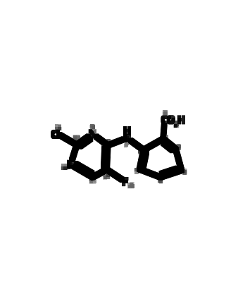 O=C(O)c1ccccc1Nc1nc(Cl)ncc1F